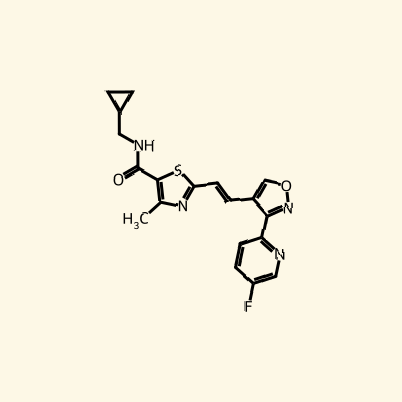 Cc1nc(C=Cc2conc2-c2ccc(F)cn2)sc1C(=O)NCC1CC1